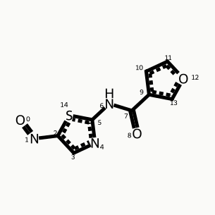 O=Nc1cnc(NC(=O)c2ccoc2)s1